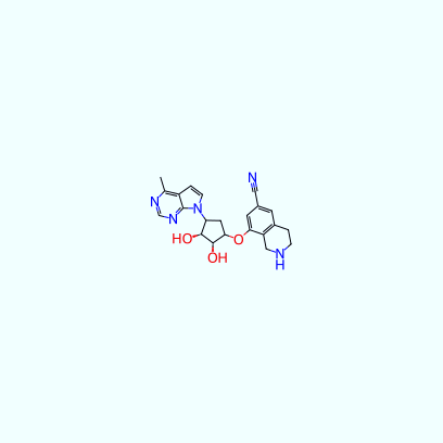 Cc1ncnc2c1ccn2C1CC(Oc2cc(C#N)cc3c2CNCC3)[C@@H](O)[C@H]1O